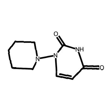 O=c1ccn(N2CCCCC2)c(=O)[nH]1